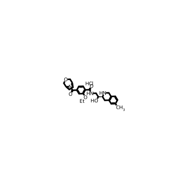 CCOc1cc(C(=O)N2C3CCC2COC3)ccc1C(=O)NCC(O)[C@@H]1Cc2cc(C)ccc2CN1.Cl